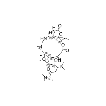 CC[C@H]1OC(=O)CC(=O)[C@H](C)[C@@H](O[C@@H]2O[C@H]([C@H](C)N(C)C)CC(N(C)C)[C@H]2O)[C@](C)(OC)C[C@@H](C)CN[C@H](C)[C@H]2NC(=O)O[C@@]21C